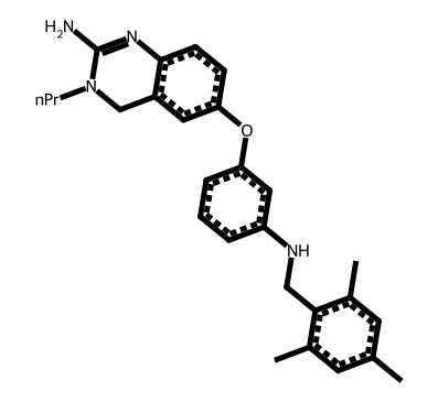 CCCN1Cc2cc(Oc3cccc(NCc4c(C)cc(C)cc4C)c3)ccc2N=C1N